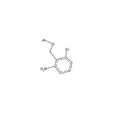 CCc1cccc([N+](=O)[O-])c1COC(C)C